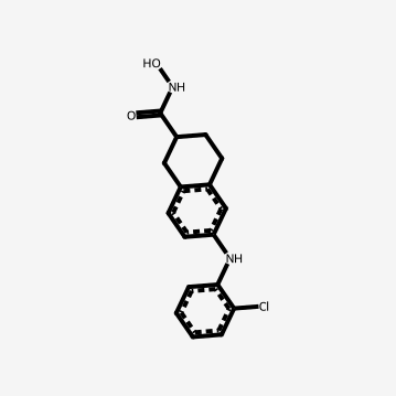 O=C(NO)C1CCc2cc(Nc3ccccc3Cl)ccc2C1